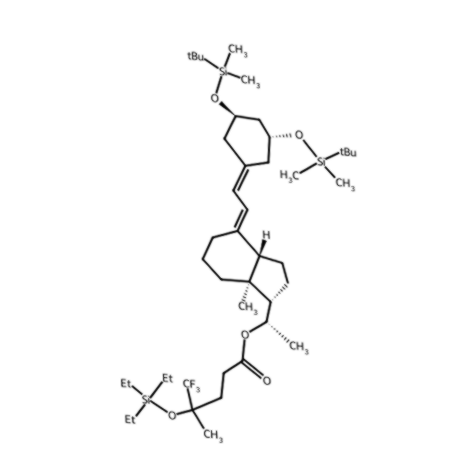 CC[Si](CC)(CC)OC(C)(CCC(=O)O[C@@H](C)[C@H]1CC[C@H]2/C(=C/C=C3C[C@@H](O[Si](C)(C)C(C)(C)C)C[C@H](O[Si](C)(C)C(C)(C)C)C3)CCC[C@]12C)C(F)(F)F